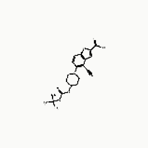 CC(C)(C)OC(=O)ON1CCN(c2ccc3oc(C(=O)O)cc3c2C#N)CC1